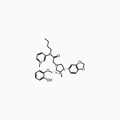 CCCCN(C(=O)CN1C[C@H](c2ccc3c(c2)OCO3)[C@@H](C)[C@@H]1COc1ccccc1O)c1ccc[n+](C)c1